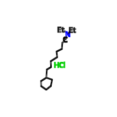 CCN(CC)CCCCCCCCC1CCCCC1.Cl